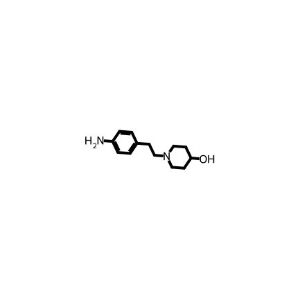 Nc1ccc(CCN2CCC(O)CC2)cc1